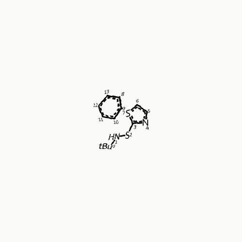 CC(C)(C)NSc1nccs1.c1ccccc1